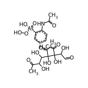 CC(=O)C(O)C(O)C(O)(C(C)=O)C(O)(C(C)=O)C(O)C=O.CC(=O)Nc1ccccc1[As](=O)(O)OO